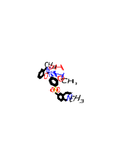 COc1cc(S(=O)(=O)Cc2ccc3c(c2)CCN(C)C3)ccc1NC(=O)N(O)C(C)c1ccccc1